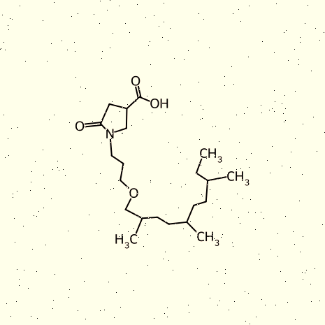 CCC(C)CCC(C)CCC(C)COCCCN1CC(C(=O)O)CC1=O